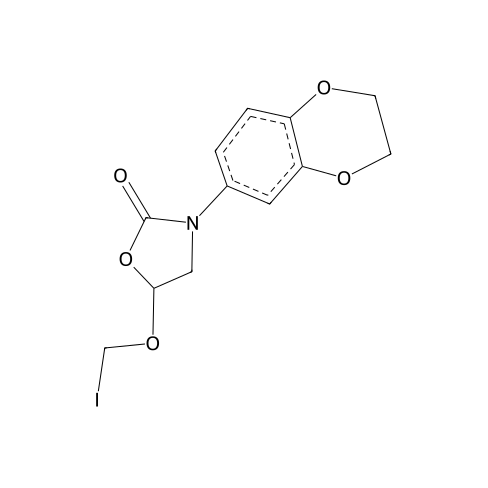 O=C1OC(OCI)CN1c1ccc2c(c1)OCCO2